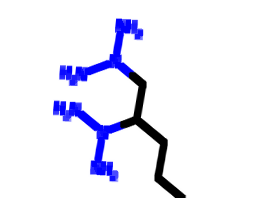 CCCC(CN(N)N)N(N)N